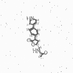 CC(=O)NC[C@H]1CC(c2ccc(C3=CCNCC3)cc2)C(=O)O1